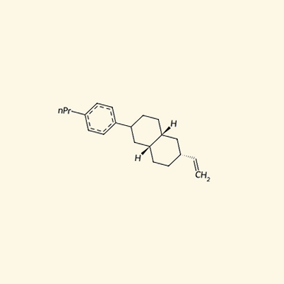 C=C[C@@H]1CC[C@@H]2CC(c3ccc(CCC)cc3)CC[C@@H]2C1